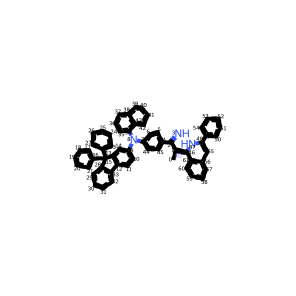 C/C(C(=N)c1ccc(N(c2ccc3c(c2)C(c2ccccc2)(c2ccccc2)c2ccccc2-3)c2cccc3ccccc23)cc1)=C1/NC(c2ccccc2)=Cc2ccccc21